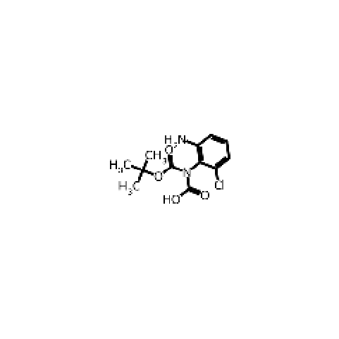 CC(C)(C)OC(=O)N(C(=O)O)c1c(N)cccc1Cl